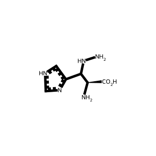 NNC(c1c[nH]cn1)[C@H](N)C(=O)O